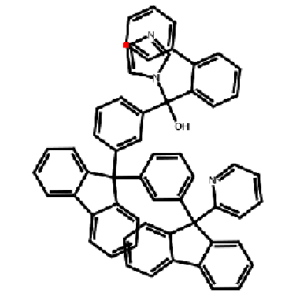 OC(c1cccc(C2(c3cccc(C4(c5ccccn5)c5ccccc5-c5ccccc54)c3)c3ccccc3-c3ccccc32)c1)(c1ccccc1-c1ccccc1)n1ccnc1